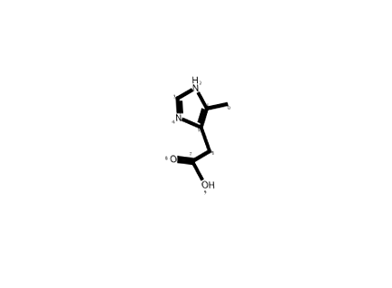 Cc1[nH]cnc1CC(=O)O